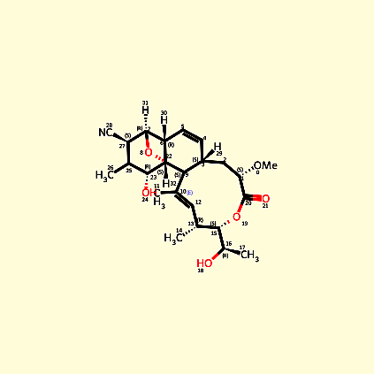 CO[C@H]1C[C@H]2C=C[C@H]3[C@H]4O[C@]2(/C(C)=C/[C@@H](C)[C@@H]([C@@H](C)O)OC1=O)[C@@H]3[C@H](O)C(C)[C@H]4C#N